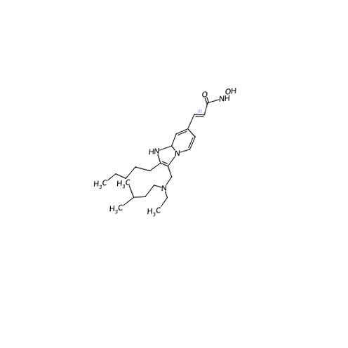 CCCCCC1=C(CN(CC)CCC(C)C)N2C=CC(/C=C/C(=O)NO)=CC2N1